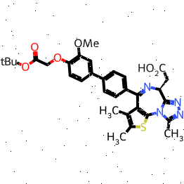 COc1cc(-c2ccc(C3=N[C@@H](CC(=O)O)c4nnc(C)n4-c4sc(C)c(C)c43)cc2)ccc1OCC(=O)OC(C)(C)C